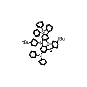 CC(C)(C)c1ccc(N2c3cc4c(cc3B3c5cc(C(C)(C)C)ccc5Sc5cc(N(c6ccccc6)c6ccccc6)cc2c53)-c2ccccc2[Si]4(c2ccccc2)c2ccccc2)cc1